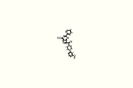 COc1cccc(N2CCN(C(=O)c3csc4c(O)nc(-c5ccccn5)nc34)CC2)c1